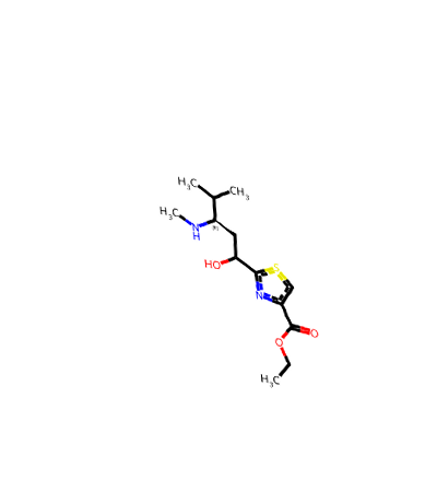 CCOC(=O)c1csc(C(O)C[C@@H](NC)C(C)C)n1